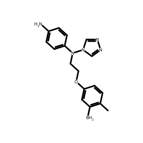 Bc1cc(OCCN(c2ccc(N)cc2)n2cnnc2)ccc1C